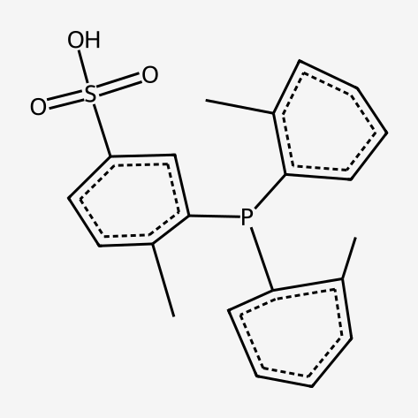 Cc1ccccc1P(c1ccccc1C)c1cc(S(=O)(=O)O)ccc1C